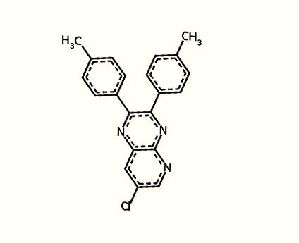 Cc1ccc(-c2nc3cc(Cl)cnc3nc2-c2ccc(C)cc2)cc1